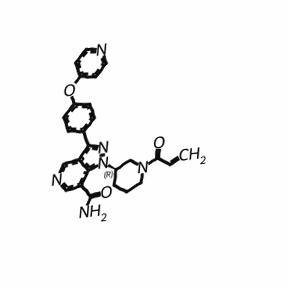 C=CC(=O)N1CCC[C@@H](n2nc(-c3ccc(Oc4ccncc4)cc3)c3cncc(C(N)=O)c32)C1